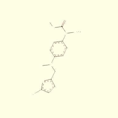 CCCOC(=O)N(OC)c1ccc(N(C)Cc2ccc(Br)s2)cc1